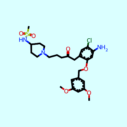 COc1cc(COc2cc(N)c(Cl)cc2CC(=O)CCCN2CCC(NS(C)(=O)=O)CC2)cc(OC)c1